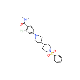 CN(C)C(=O)c1ccc(N2CCC(C3CCN(S(=O)(=O)c4ccccc4)CC3)CC2)cc1Cl